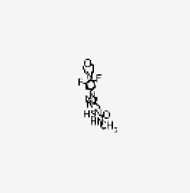 CNC(=O)N(S)Cc1cn(-c2cc(F)c(N3CCOCC3)c(F)c2)nn1